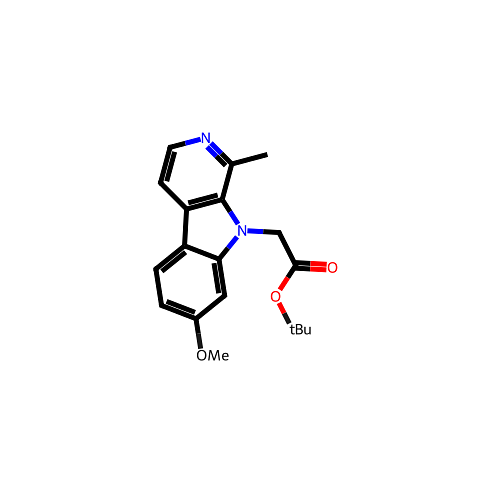 COc1ccc2c3ccnc(C)c3n(CC(=O)OC(C)(C)C)c2c1